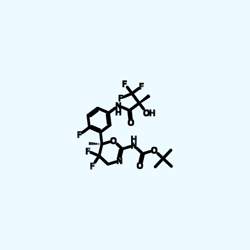 CC(C)(C)OC(=O)NC1=NCC(F)(F)[C@@](C)(c2cc(NC(=O)[C@@](C)(O)C(F)(F)F)ccc2F)O1